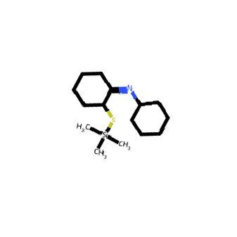 C[Si](C)(C)SC1CCCCC1=NC1CCCCC1